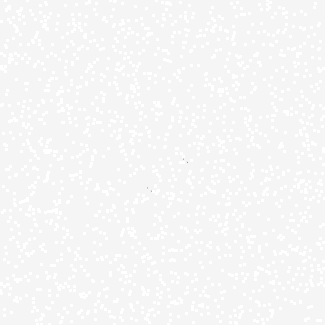 CC1(C=S)N=CC=N1